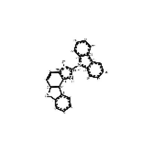 C1=CC2Sc3ccccc3C2c2nc(-n3c4ccccc4c4ccccc43)sc21